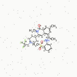 Cc1cc([C@@H](C)Nc2ccccc2S(C)(=O)=O)c2cc(C3CCN(CC(F)(F)F)CC3)n(C)c(=O)c2c1